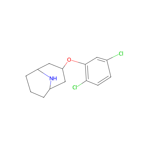 Clc1ccc(Cl)c(OC2CC3CCCC(C2)N3)c1